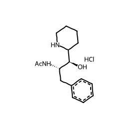 CC(=O)N[C@@H](Cc1ccccc1)[C@H](O)C1CCCCN1.Cl